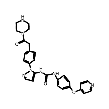 O=C(Nc1ccc(Oc2ccncc2)cc1)Nc1ccnn1-c1ccc(CC(=O)N2CCNCC2)cc1